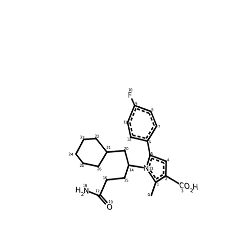 Cc1c(C(=O)O)cc(-c2ccc(F)cc2)n1C(CCC(N)=O)CC1CCCCC1